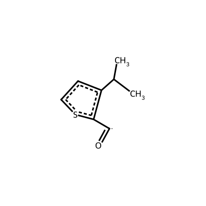 CC(C)c1ccsc1[C]=O